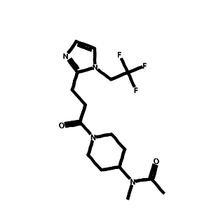 CC(=O)N(C)C1CCN(C(=O)CCc2nccn2CC(F)(F)F)CC1